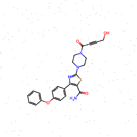 NC(=O)c1sc(N2CCN(C(=O)C#CCO)CC2)nc1-c1ccc(Oc2ccccc2)cc1